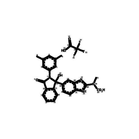 Cc1cc(C)cc(N2C(=O)c3ccccc3C2(O)c2ccc3[nH]c(N(C)C(=O)O)nc3c2)c1.O=C(O)C(F)(F)F